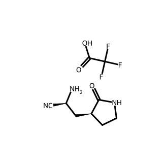 N#C[C@@H](N)C[C@@H]1CCNC1=O.O=C(O)C(F)(F)F